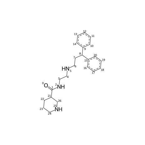 O=C(NCCNCCC(c1ccccc1)c1ccccc1)C1CCCNC1